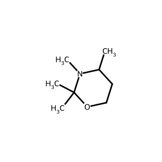 CC1CCOC(C)(C)N1C